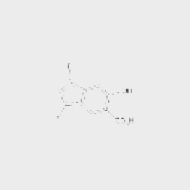 O=C(O)c1cc2c(F)nn(F)c2cc1O